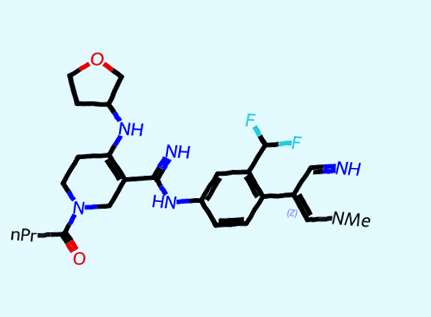 CCCC(=O)N1CCC(NC2CCOC2)=C(C(=N)Nc2ccc(/C(C=N)=C/NC)c(C(F)F)c2)C1